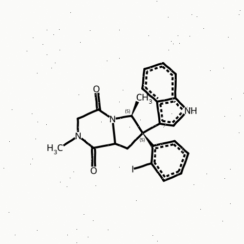 C[C@@H]1N2C(=O)CN(C)C(=O)C2C[C@@]1(c1ccccc1I)c1c[nH]c2ccccc12